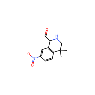 CC1(C)CNC(C=O)c2cc([N+](=O)[O-])ccc21